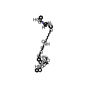 CN[C@@H](C)C(=O)N[C@H](C(=O)N1Cc2cc(OCCOCCOCCNC(=O)CCCCCCCCOc3ccnc(N4C[C@H]5CCC[C@@H]4CN5/C=C/C(=O)c4ccccc4O)c3)ccc2C[C@H]1C(=O)N[C@@H]1CCCc2ccccc21)C(C)(C)C